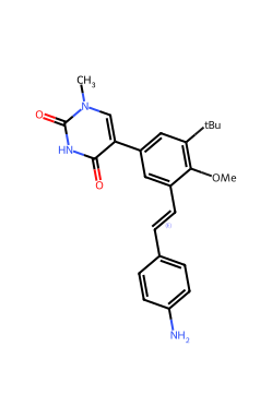 COc1c(/C=C/c2ccc(N)cc2)cc(-c2cn(C)c(=O)[nH]c2=O)cc1C(C)(C)C